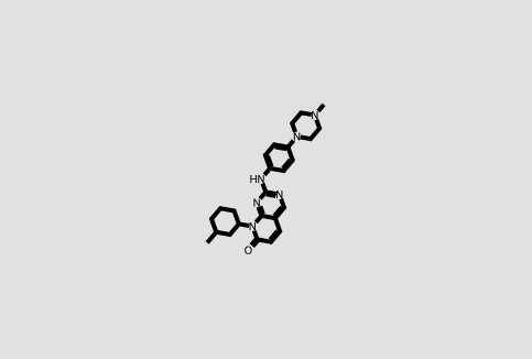 CC1CCCC(n2c(=O)ccc3cnc(Nc4ccc(N5CCN(C)CC5)cc4)nc32)C1